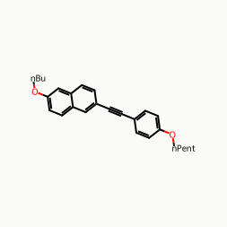 CCCCCOc1ccc(C#Cc2ccc3cc(OCCCC)ccc3c2)cc1